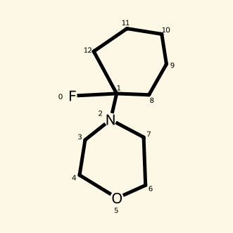 FC1(N2CCOCC2)CCCCC1